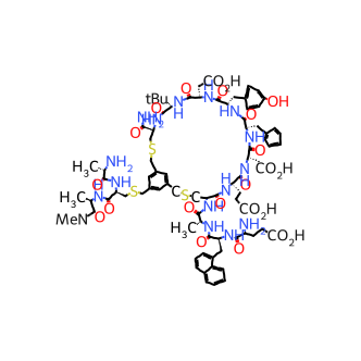 CNC(=O)[C@@H](C)NC(=O)[C@H](CSCc1cc2cc(c1)CSC[C@@H](NC(=O)[C@@H](C)NC(=O)[C@H](Cc1cccc3ccccc13)NC(=O)[C@@H](N)CCC(=O)O)C(=O)N[C@@H](CCC(=O)O)C(=O)N[C@@H](CC(=O)O)C(=O)N[C@@H](Cc1ccccc1)C(=O)N[C@@H](Cc1ccc(O)cc1)C(=O)N[C@@H](CC(=O)O)C(=O)N[C@@H](C(C)(C)C)C(=O)N[C@H](C(N)=O)CSC2)NC(=O)[C@H](C)N